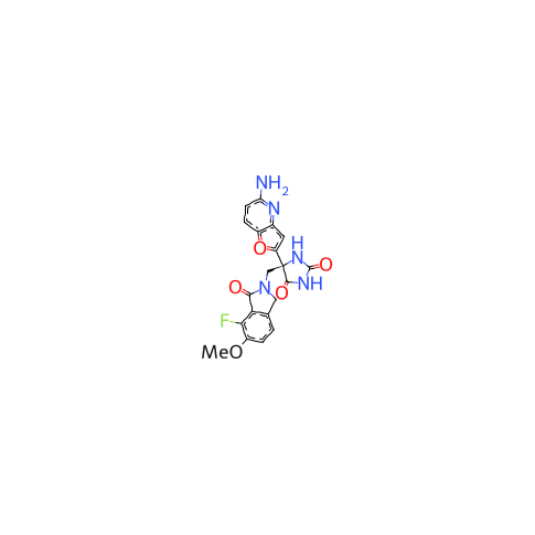 COc1ccc2c(c1F)C(=O)N(C[C@@]1(c3cc4nc(N)ccc4o3)NC(=O)NC1=O)C2